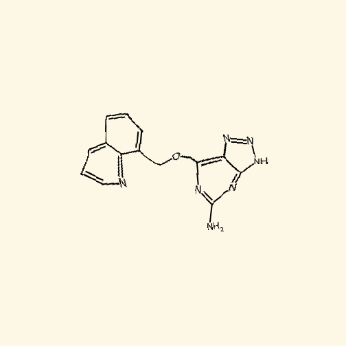 Nc1nc(OCc2cccc3cccnc23)c2nn[nH]c2n1